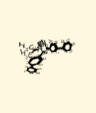 CC(C)N(C)/C(=N\C(=N)c1ccc(-c2ccccc2)cc1)c1ccc(-c2ccccc2)cc1